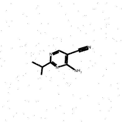 CC(C)c1ncc(C#N)c(N)n1